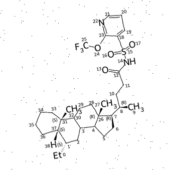 CC[C@H]1CC2C3CC[C@H]([C@H](C)CCC(=O)NS(=O)(=O)c4cccnc4OC(F)(F)F)[C@@]3(C)CCC2[C@@]2(C)CCCC[C@@H]12